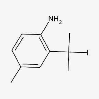 Cc1ccc(N)c(C(C)(C)I)c1